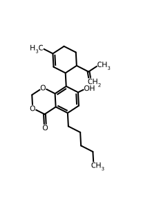 C=C(C)C1CCC(C)=CC1c1c(O)cc(CCCCC)c2c1OCOC2=O